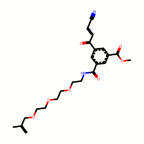 C=C(C)COCCOCCOCCNC(=O)c1cc(C(=O)/C=C/C#N)cc(C(=O)OC)c1